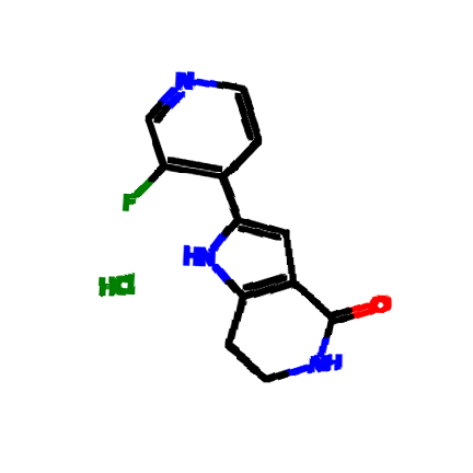 Cl.O=C1NCCc2[nH]c(-c3ccncc3F)cc21